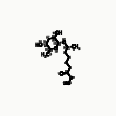 C[C@H](CCCCC(=O)OC(C)(C)C)O[C@@H]1O[C@@H](C)[C@H](O)C[C@H]1O